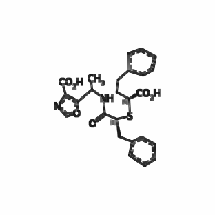 CC(NC(=O)[C@H](Cc1ccccc1)S[C@@H](CCc1ccccc1)C(=O)O)c1ocnc1C(=O)O